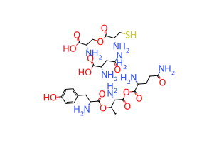 C[C@@H](OC(=O)[C@@H](N)Cc1ccc(O)cc1)[C@H](N)C(=O)OC(=O)[C@@H](N)CCC(N)=O.NC(=O)C[C@H](N)C(=O)O.N[C@@H](COC(=O)[C@@H](N)CS)C(=O)O